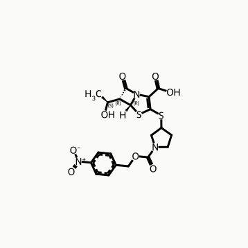 C[C@H](O)[C@@H]1C(=O)N2C(C(=O)O)=C(SC3CCN(C(=O)OCc4ccc([N+](=O)[O-])cc4)C3)S[C@H]12